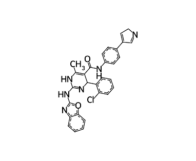 CC1=C(C(=O)Nc2ccc(C3=CCN=C3)cc2)C(c2ccccc2Cl)N=C(Nc2nc3ccccc3o2)N1